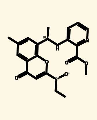 CC[S+]([O-])c1cc(=O)c2cc(C)cc([C@@H](C)Nc3cccnc3C(=O)OC)c2o1